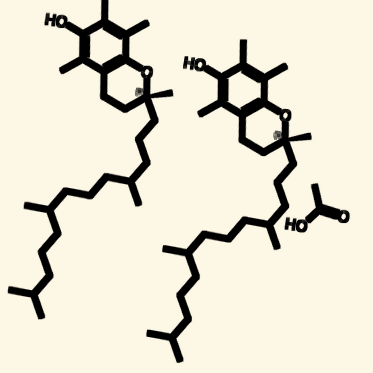 CC(=O)O.Cc1c(C)c2c(c(C)c1O)CC[C@@](C)(CCCC(C)CCCC(C)CCCC(C)C)O2.Cc1c(C)c2c(c(C)c1O)CC[C@@](C)(CCCC(C)CCCC(C)CCCC(C)C)O2